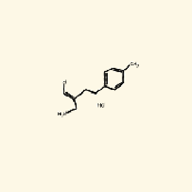 Cc1ccc(CC/C(=C\Cl)CN)cc1.Cl